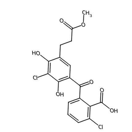 COC(=O)CCc1cc(C(=O)c2cccc(Cl)c2C(=O)O)c(O)c(Cl)c1O